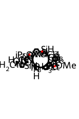 C=CC(=O)N1CC[C@@]([SiH3])(C(=O)N(C)[C@H](C(=O)N[C@H]2CC3=NNC(O3)c3ccc4c(c3)c(c(-c3cccnc3[C@H](C)OC)n4CC)CC(C)(C)COC[C@]3(C(=O)[SiH3])CCCN(N3)C2=O)C(C)C)C1